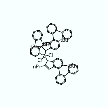 CCCC1=Cc2c(ccc(C(C)(C)C)c2-c2ccccc2-c2ccccc2)[CH]1[Zr]([Cl])([Cl])([c]1cccc2c1[SiH2]c1ccccc1-2)[CH]1C(CCC)=Cc2c1ccc(C(C)(C)C)c2-c1ccccc1-c1ccccc1